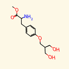 COC(=O)C(N)Cc1ccc(OCC(CO)CO)cc1